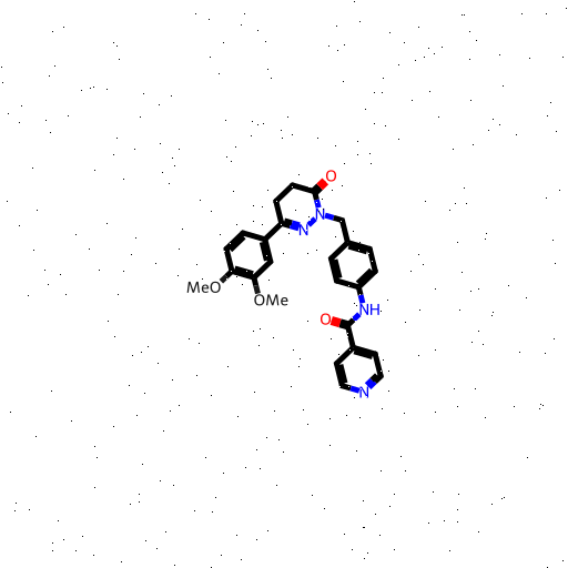 COc1ccc(C2=NN(Cc3ccc(NC(=O)c4ccncc4)cc3)C(=O)CC2)cc1OC